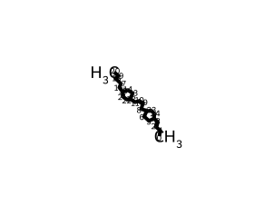 CCC=CC1CCC(C/C=C\CC2CCC(CCCCC)CC2)CC1